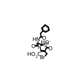 O=C(Cc1ccccc1)N[C@@H]1C(=O)N2C(C(=O)O)=C(CBr)C(=O)[S+]([O-])[C@H]12